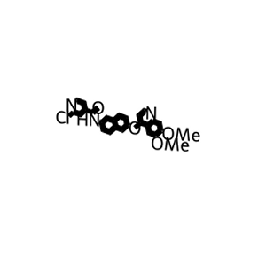 COc1cc2nccc(Oc3ccc4cc(NC(=O)c5ccnc(Cl)c5)ccc4c3)c2cc1OC